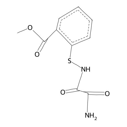 COC(=O)c1ccccc1SNC(=O)C(N)=O